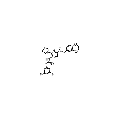 O=C(Cc1cc(F)cc(F)c1)Nc1ccc(NCc2ccc3c(c2)OCCO3)nc1N1CCCC1